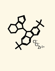 CC(C)(C)c1ccc2c(c1)C(C1C3=C(CC=C3)C3CCCCC31)c1cc(C(C)(C)C)ccc1-2.[Cl-].[Cl-].[Zr+2]